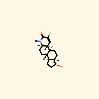 CN1C(=O)C(F)=C[C@]2(C)[C@H]3CC[C@]4(C)[C@@H](O)CC[C@H]4[C@@H]3CC[C@@H]12